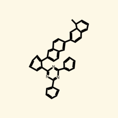 CC1C=CC=C2C=CC(c3ccc4cc(-c5ccccc5-c5nc(-c6ccccc6)nc(-c6ccccc6)n5)ccc4c3)=CC21